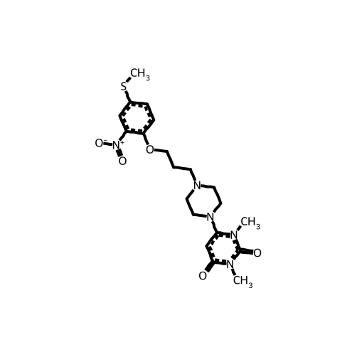 CSc1ccc(OCCCN2CCN(c3cc(=O)n(C)c(=O)n3C)CC2)c([N+](=O)[O-])c1